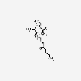 CC(=O)C(C)C.CCCC(C)=O.CCCCC(=O)CCCC